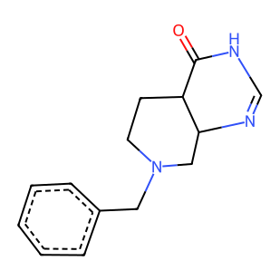 O=C1NC=NC2CN(Cc3ccccc3)CCC12